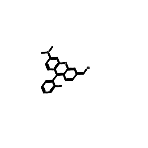 CC/C=c1/ccc2c(c1)Oc1cc(N(C)C)ccc1C=2c1ccccc1C